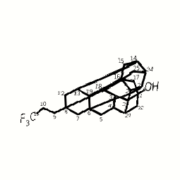 OC12CC3C4CC56CC7(CCC(F)(F)F)CC8C9CC(C1)(C3C85)C(C4C2)C6C9C7